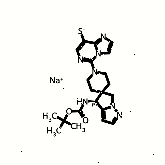 CC(C)(C)OC(=O)N[C@@H]1c2ccnn2CC12CCN(c1ncc([S-])c3nccn13)CC2.[Na+]